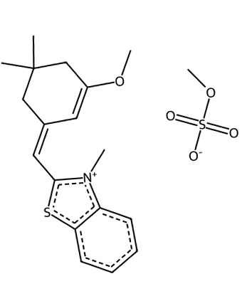 COC1=CC(=Cc2sc3ccccc3[n+]2C)CC(C)(C)C1.COS(=O)(=O)[O-]